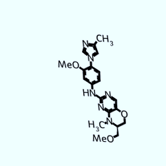 COC[C@@H]1COc2cnc(Nc3ccc(-n4cnc(C)c4)c(OC)c3)nc2N1C